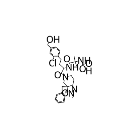 CN1N=C2CCN(C(=O)C(CCc3ccc(CO)cc3Cl)NC(=O)C(C)(C)NC(=O)O)C[C@@]2(Cc2ccccc2)C1=O